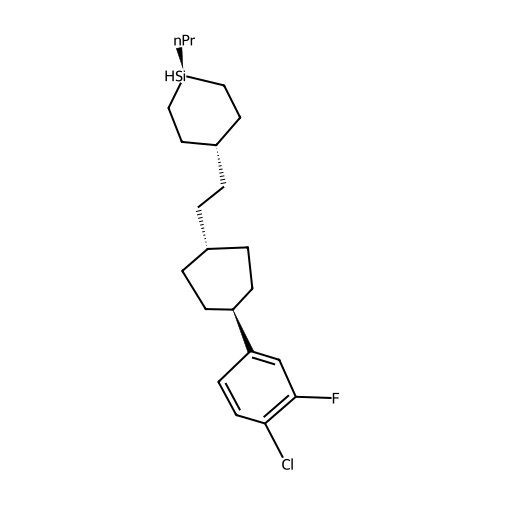 CCC[Si@H]1CC[C@H](CC[C@H]2CC[C@H](c3ccc(Cl)c(F)c3)CC2)CC1